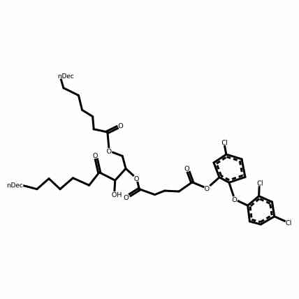 CCCCCCCCCCCCCCCC(=O)OCC(OC(=O)CCCC(=O)Oc1cc(Cl)ccc1Oc1ccc(Cl)cc1Cl)C(O)C(=O)CCCCCCCCCCCCCCC